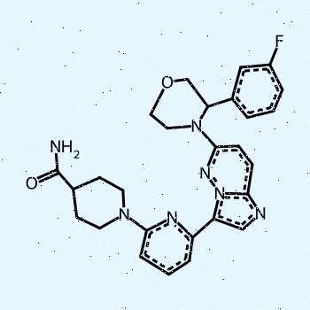 NC(=O)C1CCN(c2cccc(-c3cnc4ccc(N5CCOCC5c5cccc(F)c5)nn34)n2)CC1